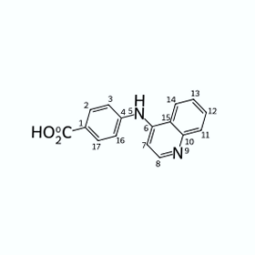 O=C(O)c1ccc(Nc2ccnc3ccccc23)cc1